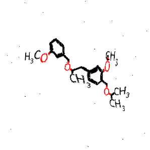 COc1cccc(COC(C)Cc2ccc(COC(C)C)c(OC)c2)c1